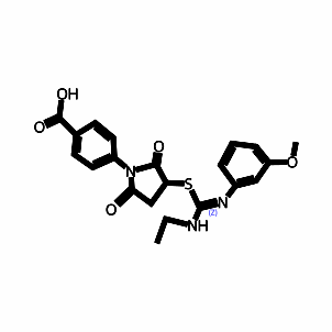 CCN/C(=N/c1cccc(OC)c1)SC1CC(=O)N(c2ccc(C(=O)O)cc2)C1=O